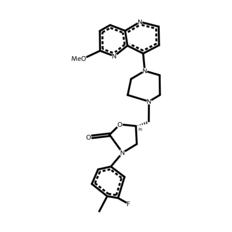 COc1ccc2nccc(N3CCN(C[C@@H]4CN(c5ccc(C)c(F)c5)C(=O)O4)CC3)c2n1